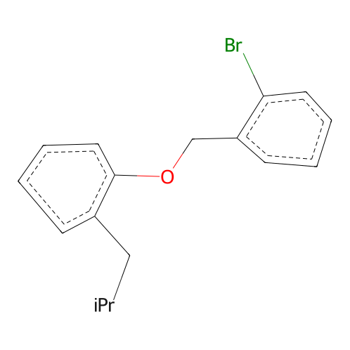 CC(C)Cc1ccccc1OCc1ccccc1Br